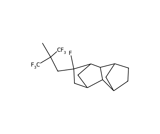 CC(CC1(F)CC2CC1C1C3CCC(C3)C21)(C(F)(F)F)C(F)(F)F